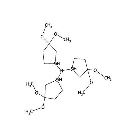 COC1(OC)CC[SiH](N([SiH]2CCC(OC)(OC)C2)[SiH]2CCC(OC)(OC)C2)C1